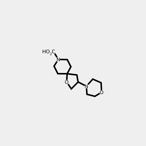 O=C(O)N1CCC2(CC1)CC(N1CCOCC1)CO2